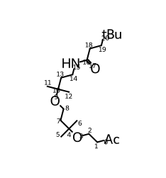 CC(=O)CCOC(C)(C)CCOC(C)(C)CCNC(=O)CCC(C)(C)C